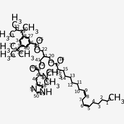 CCCCC/C=C\C/C=C\CCCCCCCC(=O)OCC(COC(=O)c1cc(C(C)C(C)C)cc(C(C)(C)C)c1)COC(=O)[C@H](Cc1c[nH]cn1)N(C)C